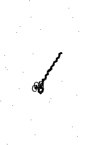 CCCCCCCCC=CCC=CC=COc1ccccc1C(=O)O